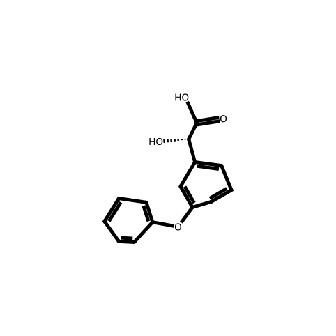 O=C(O)[C@@H](O)c1cccc(Oc2ccccc2)c1